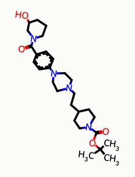 CC(C)(C)OC(=O)N1CCC(CCN2CCN(c3ccc(C(=O)N4CCCC(O)C4)cc3)CC2)CC1